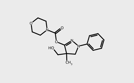 CC1(CO)CN(c2ccccc2)N=C1OC(=O)N1CCOCC1